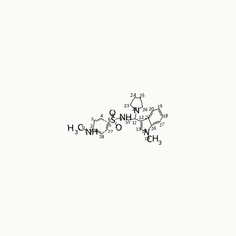 CNc1ccc(S(=O)(=O)NCC(c2cn(C)c3ccccc23)N2CCCC2)cc1